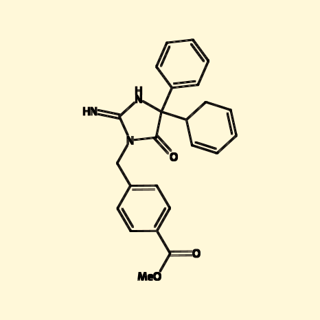 COC(=O)c1ccc(CN2C(=N)NC(c3ccccc3)(C3C=CC=CC3)C2=O)cc1